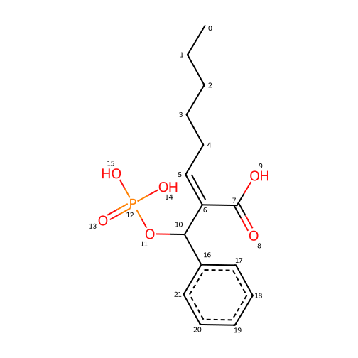 CCCCCC=C(C(=O)O)C(OP(=O)(O)O)c1ccccc1